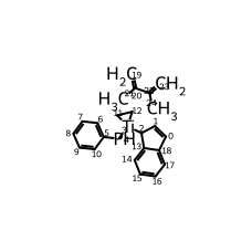 C1=C[CH]([Ti]2([PH]c3ccccc3)[CH2][CH2]2)c2ccccc21.C=C(C)C(=C)C